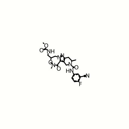 COC(=O)NCC1Cn2nc3c(c2C(=O)N(C)O1)CN(C(=O)Nc1ccc(F)c(C#N)c1)C(C)C3